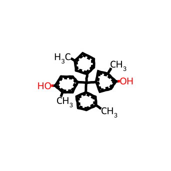 Cc1cccc(C(c2cccc(C)c2)(c2ccc(O)c(C)c2)c2ccc(O)c(C)c2)c1